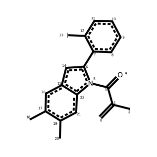 C=C(C)C(=O)n1c(-c2ccccc2I)cc2cc(C)c(C)cc21